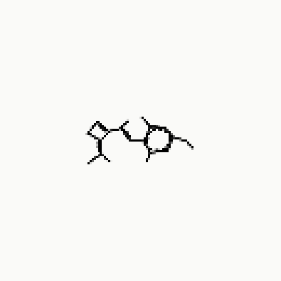 CCc1cc(C)c(/C=C(\C)C2=CCC2=C(C)C)c(C)c1